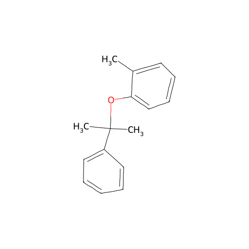 Cc1ccccc1OC(C)(C)c1ccccc1